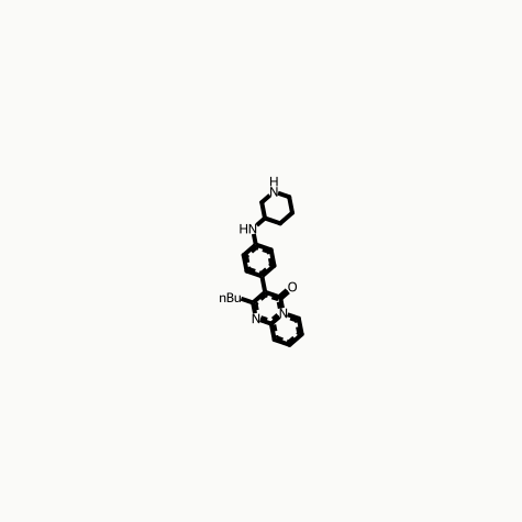 CCCCc1nc2ccccn2c(=O)c1-c1ccc(NC2CCCNC2)cc1